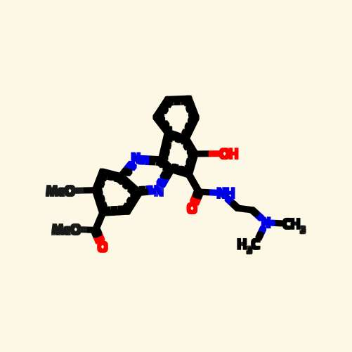 COC(=O)c1cc2nc3c(C(=O)NCCN(C)C)c(O)c4ccccc4c3nc2cc1OC